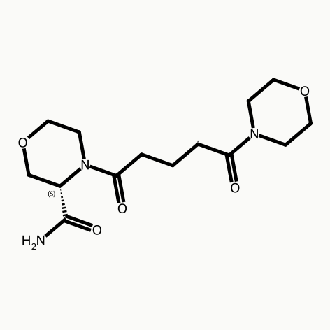 NC(=O)[C@@H]1COCCN1C(=O)CC[CH]C(=O)N1CCOCC1